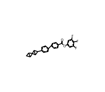 O=C(Oc1cc(F)c(F)c(F)c1)c1ccc(-c2ccc(C3C4C3C43C4CC43)cc2)cc1